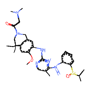 COc1cc2c(cc1Nc1ncc(C)c(Nc3ccccc3[S+]([O-])C(C)C)n1)CN(C(=O)CN(C)C)CC2(C)C